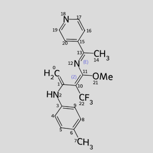 C=C(Nc1ccc(C)cc1)/C(=C(\N=C(/C)c1ccncc1)OC)C(F)(F)F